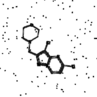 Clc1ccn2nc(CN3CCOCC3)c(Cl)c2n1